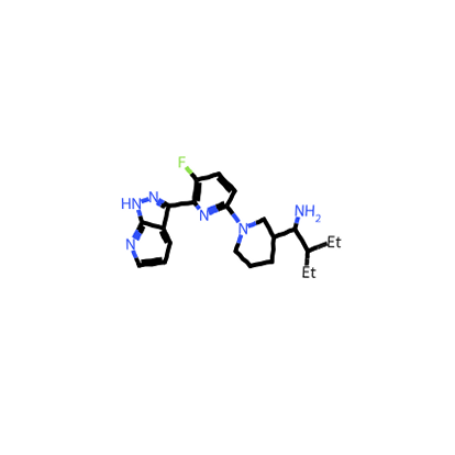 CCC(CC)C(N)C1CCCN(c2ccc(F)c(-c3n[nH]c4ncccc34)n2)C1